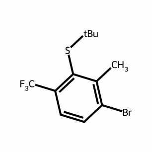 Cc1c(Br)ccc(C(F)(F)F)c1SC(C)(C)C